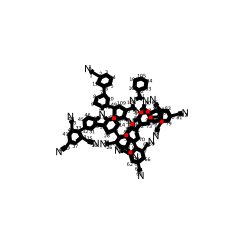 N#Cc1cccc(-c2ccc(-n3c4ccc(-c5c(C#N)cc(C#N)cc5C#N)cc4c4cc(-c5c(C#N)cc(C#N)cc5C#N)ccc43)c(-c3ccc(-n4c5ccc(-c6c(C#N)cc(C#N)cc6C#N)cc5c5cc(-c6c(C#N)cc(C#N)cc6C#N)ccc54)c(-c4nc(-c5ccccc5)nc(-c5ccccc5)n4)c3)c2)c1